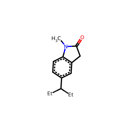 CCC(CC)c1ccc2c(c1)CC(=O)N2C